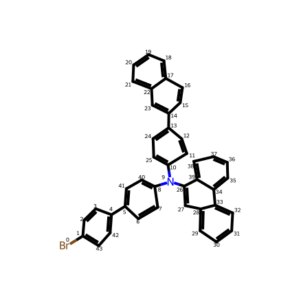 Brc1ccc(-c2ccc(N(c3ccc(-c4ccc5ccccc5c4)cc3)c3cc4ccccc4c4ccccc34)cc2)cc1